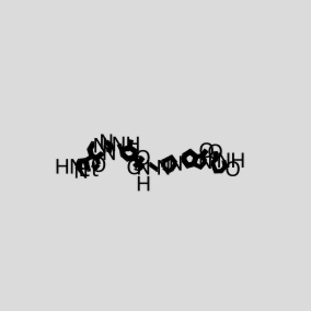 CCOc1c(-c2cn[nH]c2)ccn2nc(Nc3ccc(S(=O)(=O)NCCN4CCN(c5ccc6c(c5)CN(C5CCC(=O)NC5=O)C6=O)CC4)cc3C)nc12